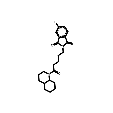 O=C1c2ccc(F)cc2C(=O)N1CCCCC(=O)N1CCCC2CCCCC21